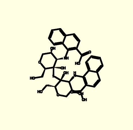 O=C(O)c1ccc2ccccc2c1N[C@H]1[C@@H](O)CO[C@H](CO)[C@]1(O)S[C@@]1(O)[C@@H](CO)OC[C@H](O)[C@@H]1Nc1c(C(=O)O)ccc2ccccc12